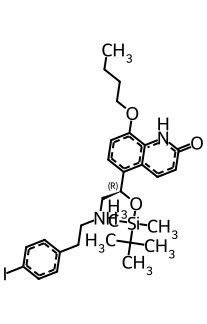 CCCCOc1ccc([C@H](CNCCc2ccc(I)cc2)O[Si](C)(C)C(C)(C)C)c2ccc(=O)[nH]c12